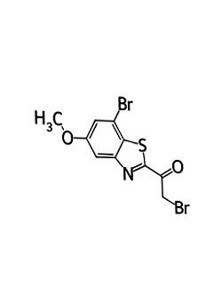 COc1cc(Br)c2sc(C(=O)CBr)nc2c1